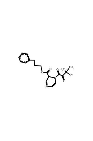 CCC(C)(C)C(=O)C(=O)N1C=CN=CC1C(=O)OCCCc1ccccc1